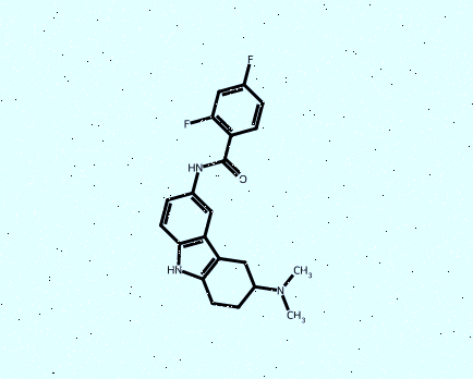 CN(C)C1CCc2[nH]c3ccc(NC(=O)c4ccc(F)cc4F)cc3c2C1